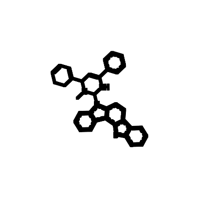 CN1C(C2=CC=CCC2)C=C(c2ccccc2)NC1n1c2ccccc2c2c3sc4ccccc4c3ccc21